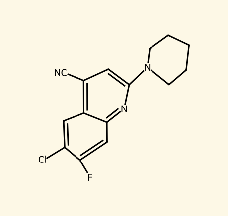 N#Cc1cc(N2CCCCC2)nc2cc(F)c(Cl)cc12